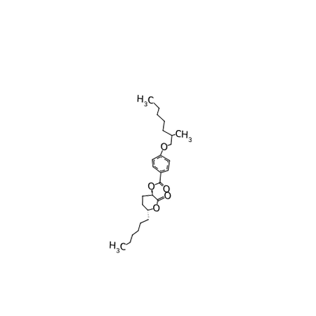 CCCCCC[C@@H]1CC[C@@H](OC(=O)c2ccc(OCC(C)CCCCC)cc2)C(=O)O1